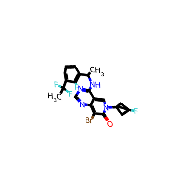 CC(Nc1ncnc2c(Br)c(=O)n(C34CC(F)(C3)C4)cc12)c1cccc(C(C)(F)F)c1F